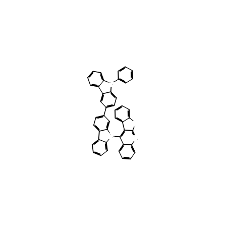 c1ccc(-n2c3ccccc3c3cc(-c4ccc5c6ccccc6n(-c6c7ccccc7nc7sc8ccccc8c67)c5c4)ccc32)cc1